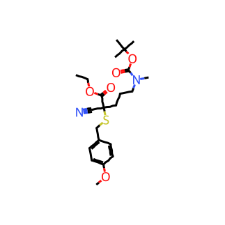 CCOC(=O)C(C#N)(CCCN(C)C(=O)OC(C)(C)C)SCc1ccc(OC)cc1